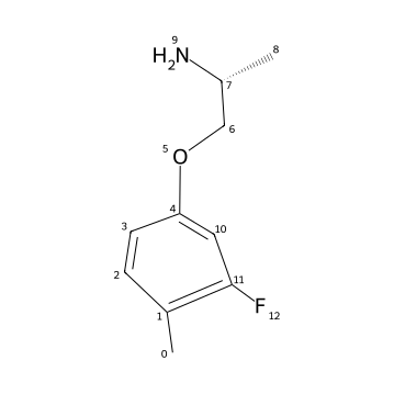 Cc1ccc(OC[C@@H](C)N)cc1F